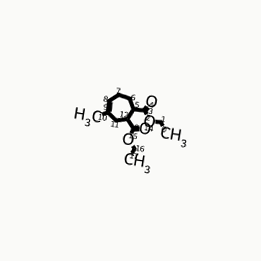 CCOC(=O)C1CCC=C(C)CC1C(=O)OCC